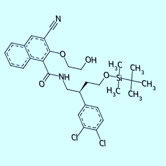 CC(C)(C)[Si](C)(C)OCC[C@H](CNC(=O)c1c(OCCO)c(C#N)cc2ccccc12)c1ccc(Cl)c(Cl)c1